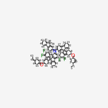 C=Cc1ccc(Oc2ccc(C3(c4ccc(F)c(F)c4)c4ccccc4-c4ccc(N(c5ccc6c(c5)C(C)(C)c5ccccc5-6)c5ccc6c(c5)C(c5ccc(Oc7ccc(C=C)cc7)cc5)(c5ccc(F)c(F)c5)c5ccccc5-6)cc43)cc2)cc1